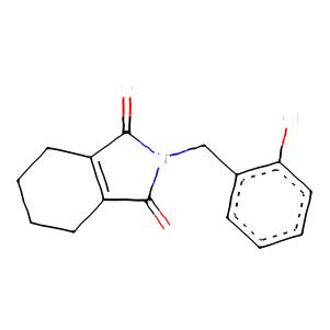 O=C1C2=C(CCCC2)C(=O)N1Cc1ccccc1O